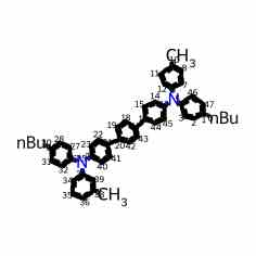 CCCCc1ccc(N(c2ccc(C)cc2)c2ccc(-c3ccc(-c4ccc(N(c5ccc(CCCC)cc5)c5cccc(C)c5)cc4)cc3)cc2)cc1